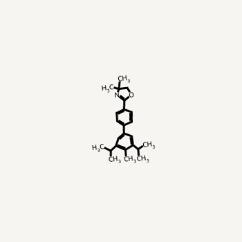 Cc1c(C(C)C)cc(-c2ccc(C3=NC(C)(C)CO3)cc2)cc1C(C)C